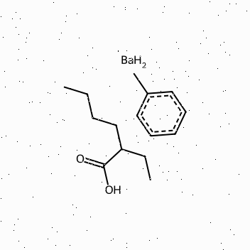 CCCCC(CC)C(=O)O.Cc1ccccc1.[BaH2]